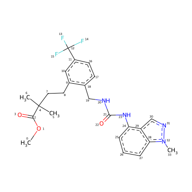 COC(=O)C(C)(C)CCc1cc(C(F)(F)F)ccc1CNC(=O)Nc1cccc2c1cnn2C